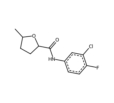 CC1CCC(C(=O)Nc2ccc(F)c(Cl)c2)O1